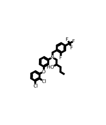 CCCC(O)CN(Cc1ccc(C(F)(F)F)cc1F)c1cccc(Oc2cccc(Cl)c2Cl)c1